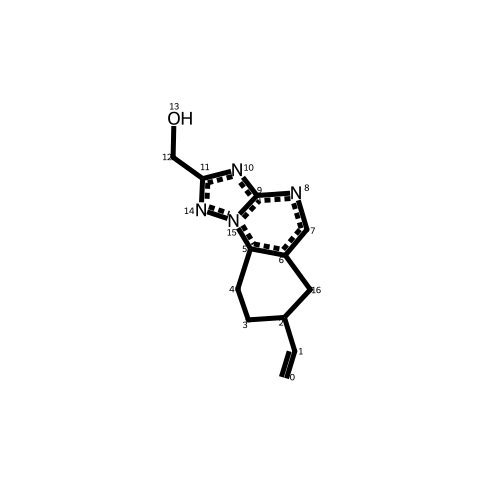 C=CC1CCc2c(cnc3nc(CO)nn23)C1